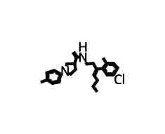 C=C(NCC/C(=C/CCC)c1cc(Cl)ccc1C)C1CCN(c2ccc(C)cc2)C1